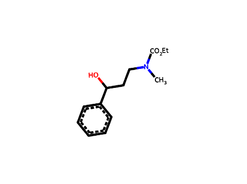 CCOC(=O)N(C)CCC(O)c1ccccc1